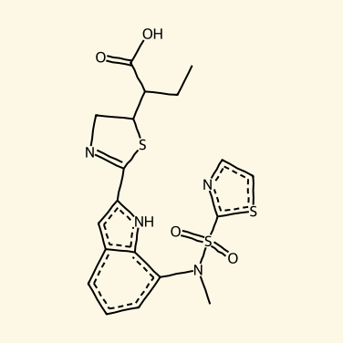 CCC(C(=O)O)C1CN=C(c2cc3cccc(N(C)S(=O)(=O)c4nccs4)c3[nH]2)S1